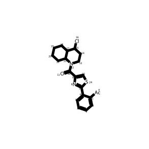 CC(=O)c1ccccc1-c1nc(C(=O)N2CCC(Cl)C3CCCCC32)cs1